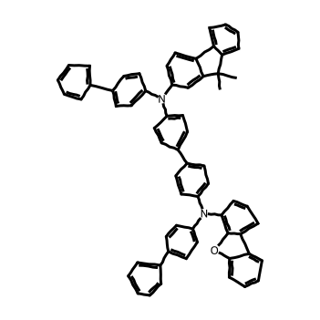 CC1(C)c2ccccc2-c2ccc(N(c3ccc(-c4ccccc4)cc3)c3ccc(-c4ccc(N(c5ccc(-c6ccccc6)cc5)c5cccc6c5oc5ccccc56)cc4)cc3)cc21